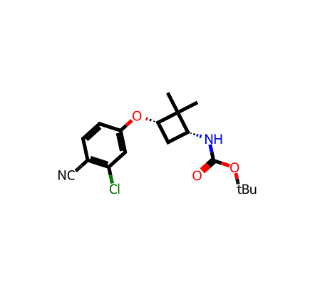 CC(C)(C)OC(=O)N[C@@H]1C[C@H](Oc2ccc(C#N)c(Cl)c2)C1(C)C